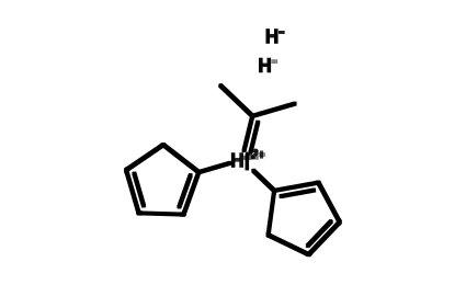 C[C](C)=[Hf+2]([C]1=CC=CC1)[C]1=CC=CC1.[H-].[H-]